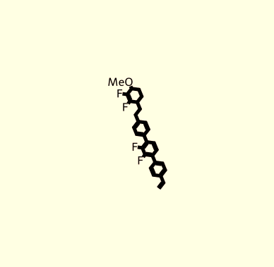 C=Cc1ccc(-c2ccc(-c3ccc(CCC4CCC(OC)C(F)=C4F)cc3)c(F)c2F)cc1